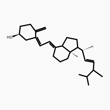 C=C1CC[C@H](O)C/C1=C/C=C1\CCC[C@@]2(C)C1CCC2[C@H](C)/C=C/C(C)C(C)C